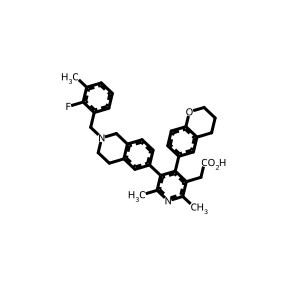 Cc1cccc(CN2CCc3cc(-c4c(C)nc(C)c(CC(=O)O)c4-c4ccc5c(c4)CCCO5)ccc3C2)c1F